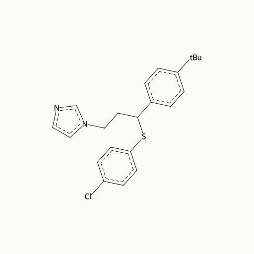 CC(C)(C)c1ccc(C(CCn2ccnc2)Sc2ccc(Cl)cc2)cc1